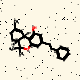 CC1=C[C@H]2c3c(O)cc(CCc4ccccc4)cc3OC(C)(C)[C@@H]2CC1